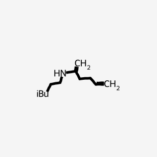 C=CCCC(=C)NCCC(C)CC